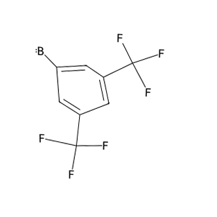 [B]c1cc(C(F)(F)F)cc(C(F)(F)F)c1